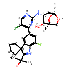 CC(C)(O)C1=Nc2c(F)cc(-c3nc(N[C@@H]4C[C@H]5OC[C@H](O5)[C@H]4O)ncc3Cl)cc2C12CCCC2